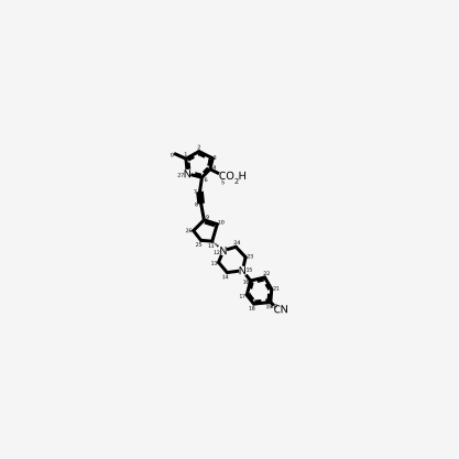 Cc1ccc(C(=O)O)c(C#CC2=C[C@H](N3CCN(c4ccc(C#N)cc4)CC3)CC2)n1